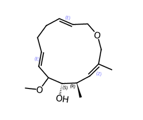 COC1/C=C/CC/C=C/COC/C(C)=C\[C@@H](C)[C@@H]1O